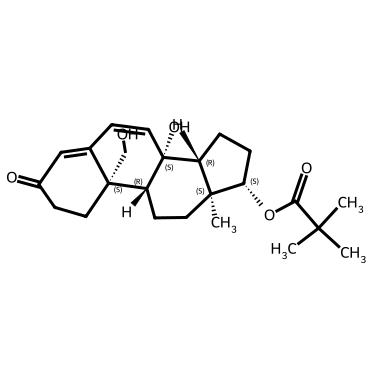 CC(C)(C)C(=O)O[C@H]1CC[C@H]2[C@]3(O)C=CC4=CC(=O)CC[C@]4(CO)[C@H]3CC[C@]12C